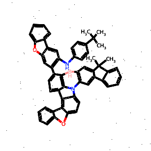 CC(C)(C)c1ccc(Nc2cc3c(cc2-c2ccc4c5c6c(ccc5n5c4c2Bc2cc4c(cc2-5)-c2ccccc2C4(C)C)oc2ccccc26)oc2ccccc23)cc1